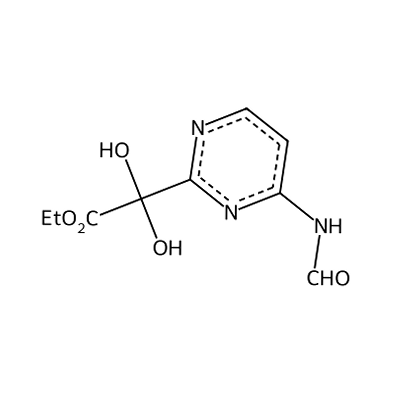 CCOC(=O)C(O)(O)c1nccc(NC=O)n1